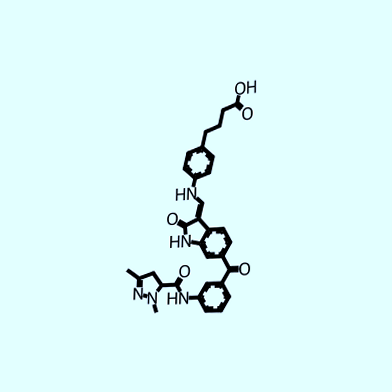 CC1=NN(C)C(C(=O)Nc2cccc(C(=O)c3ccc4c(c3)NC(=O)C4=CNc3ccc(CCCC(=O)O)cc3)c2)C1